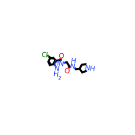 Nc1ccc(Cl)cc1C(=O)NCC(=O)NCC1CCNCC1